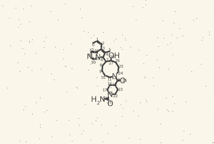 C/C=C\C1=C(C)C(C2CCCCN(C(=O)C3CCN(C(N)=O)CC3)CCCC2O)n2cncc21